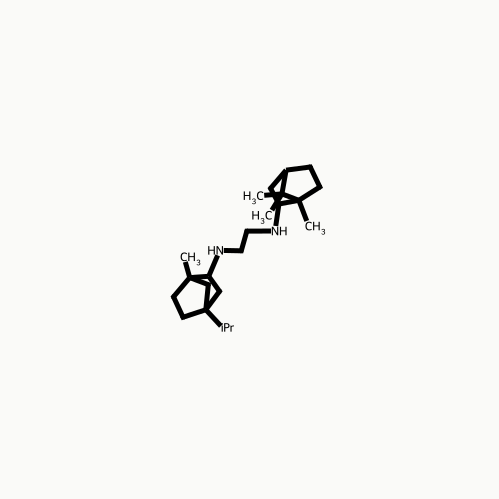 CC(C)C12CCC(C)(C1)C(NCCNC1CC3CCC1(C)C3(C)C)C2